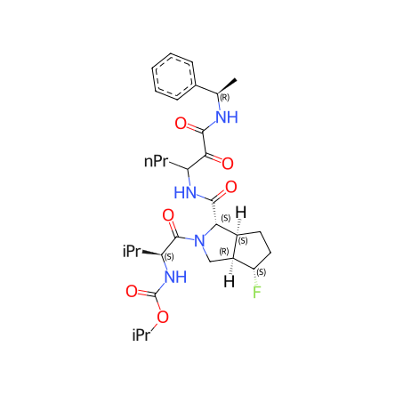 CCCC(NC(=O)[C@@H]1[C@H]2CC[C@H](F)[C@H]2CN1C(=O)[C@@H](NC(=O)OC(C)C)C(C)C)C(=O)C(=O)N[C@H](C)c1ccccc1